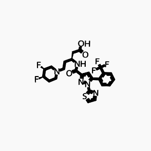 O=C(O)C[C@H](CCN1CC[C@@H](F)[C@@H](F)C1)NC(=O)c1cc(-c2ccccc2C(F)(F)F)n(-c2nccs2)n1